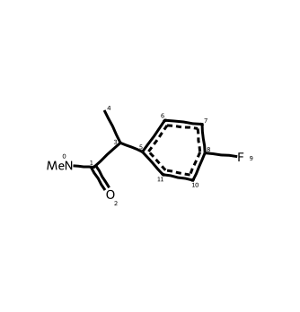 CNC(=O)C(C)c1ccc(F)cc1